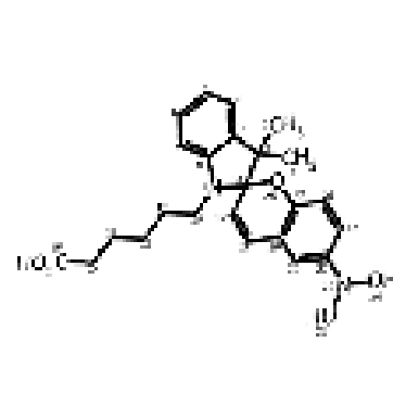 CC1(C)c2ccccc2N(CCCCCC(=O)O)C12C=Cc1cc(N(O)O)ccc1O2